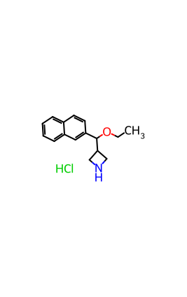 CCOC(c1ccc2ccccc2c1)C1CNC1.Cl